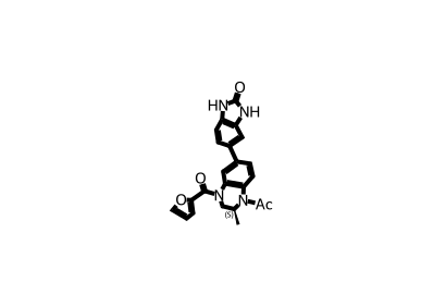 CC(=O)N1c2ccc(-c3ccc4[nH]c(=O)[nH]c4c3)cc2N(C(=O)c2ccco2)C[C@@H]1C